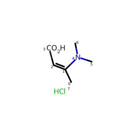 C/C(=C/C(=O)O)N(C)C.Cl